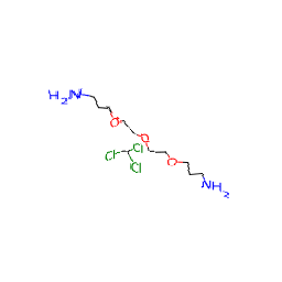 ClC(Cl)Cl.NCCCOCCOCCOCCCN